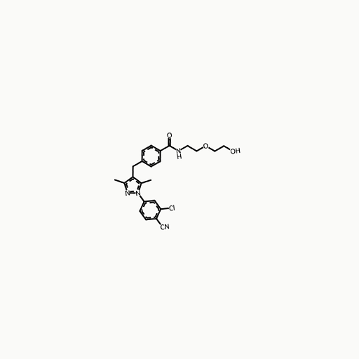 Cc1nn(-c2ccc(C#N)c(Cl)c2)c(C)c1Cc1ccc(C(=O)NCCOCCO)cc1